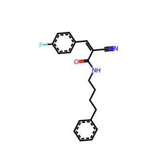 N#CC(=Cc1ccc(F)cc1)C(=O)NCCCCc1ccccc1